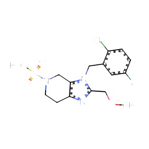 COCc1nc2c(n1Cc1cc(Cl)ccc1Cl)CN(S(C)(=O)=O)CC2